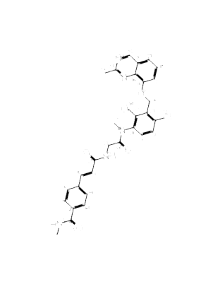 CNC(=O)c1ccc(C=CC(=O)NCC(=O)N(C)c2ccc(Cl)c(COc3cccc4cnc(C)nc34)c2Cl)cc1